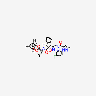 Cc1cc(C(=O)NCC2=NOC(Cc3ccccc3)(C(=O)N[C@@H](CC(C)C)B3O[C@@H]4C[C@@H]5C[C@@H](C5(C)C)[C@]4(C)O3)C2)n(-c2ccc(F)cc2)n1